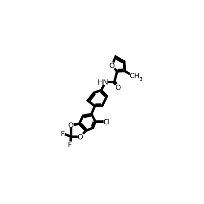 Cc1ccoc1C(=O)Nc1ccc(-c2cc3c(cc2Cl)OC(F)(F)O3)cc1